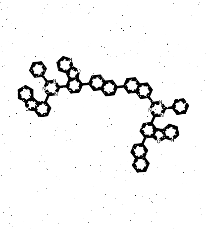 c1ccc(-c2nc(-c3ccc4ccc(-c5ccc6cc(-c7ccc(-c8nc(-c9ccccc9)nc(-c9cccc%10oc%11ccccc%11c9%10)n8)c8c7oc7ncccc78)ccc6c5)cc4c3)nc(-c3ccc(-c4ccc5ccccc5c4)c4oc5ncccc5c34)n2)cc1